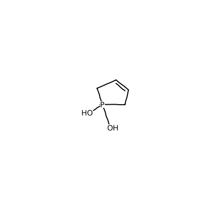 O[P]1(O)CC=CC1